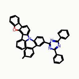 Cc1ccc(-c2cc(-c3nc(-c4ccccc4)nc(-c4ccccc4)n3)ccc2-n2c3ccccc3c3c4oc5ccccc5c4ccc32)cc1